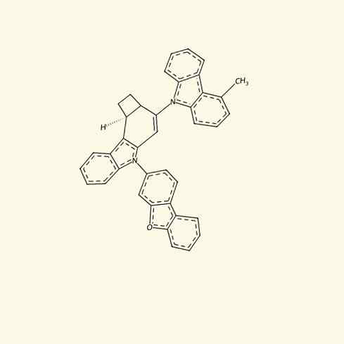 Cc1cccc2c1c1ccccc1n2C1=Cc2c(c3ccccc3n2-c2ccc3c(c2)oc2ccccc23)[C@H]2CCC12